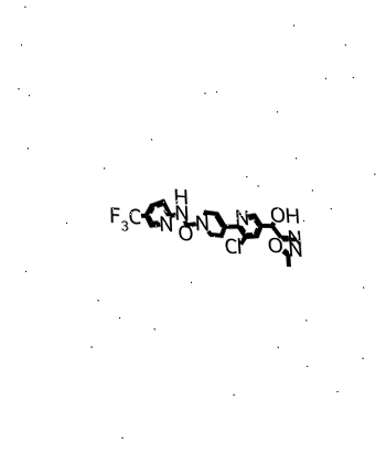 Cc1nnc(C(O)c2cnc(C3=CCN(C(=O)Nc4ccc(C(F)(F)F)cn4)CC3)c(Cl)c2)o1